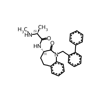 CN[C@@H](C)C(=O)N[C@H]1CCc2ccccc2N(Cc2ccccc2-c2ccccc2)C1=O